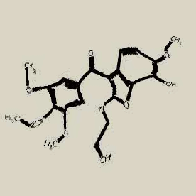 COc1cc(C(=O)c2c(NCCO)oc3c(O)c(OC)ccc23)cc(OC)c1OC